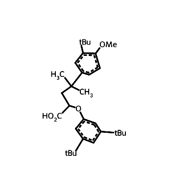 COc1ccc(C(C)(C)CC(Oc2cc(C(C)(C)C)cc(C(C)(C)C)c2)C(=O)O)cc1C(C)(C)C